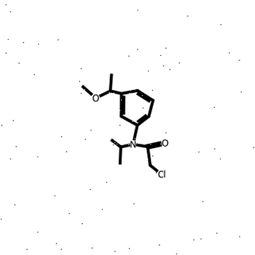 COC(C)c1cccc(N(C(=O)CCl)C(C)C)c1